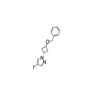 Ic1cnn([C@H]2C[C@H](OCc3ccccc3)C2)c1